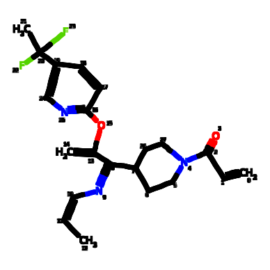 C=CC(=O)N1CCC(/C(=N/C=C\C)C(=C)Oc2ccc(C(C)(F)F)cn2)CC1